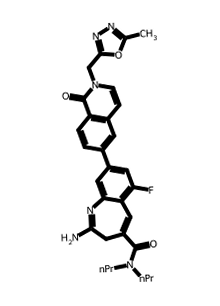 CCCN(CCC)C(=O)C1=Cc2c(F)cc(-c3ccc4c(=O)n(Cc5nnc(C)o5)ccc4c3)cc2N=C(N)C1